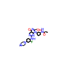 C=CC(=O)Nc1cccc(-n2c(CO)nc(=O)c3cnc(Nc4ccc(N5CCN(C)CC5)cc4F)nc32)c1